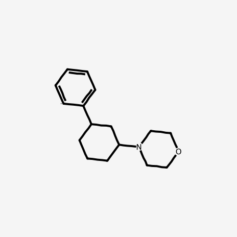 [c]1ccccc1C1CCCC(N2CCOCC2)C1